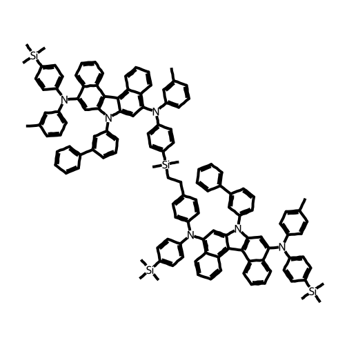 Cc1ccc(N(c2ccc([Si](C)(C)C)cc2)c2cc3c(c4ccccc24)c2c4ccccc4c(N(c4ccc(CC[Si](C)(C)c5ccc(N(c6cccc(C)c6)c6cc7c(c8ccccc68)c6c8ccccc8c(N(c8ccc([Si](C)(C)C)cc8)c8cccc(C)c8)cc6n7-c6cccc(-c7ccccc7)c6)cc5)cc4)c4ccc([Si](C)(C)C)cc4)cc2n3-c2cccc(-c3ccccc3)c2)cc1